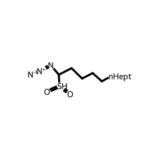 CCCCCCCCCCCC(N=[N+]=[N-])[SH](=O)=O